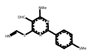 CNc1nc(-c2ccc(SC)cc2)nc(SC=N)c1C=O